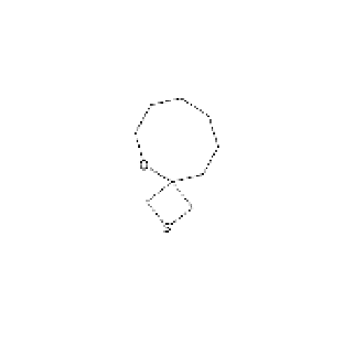 C1CCCC2(CSC2)OCC1